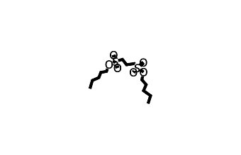 CCCCCOS(=O)(=O)CCCS(=O)(=O)OCCCCC